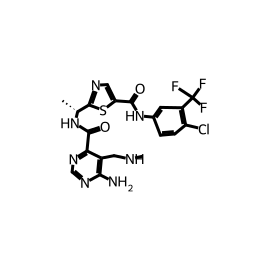 CNCc1c(N)ncnc1C(=O)N[C@H](C)c1ncc(C(=O)Nc2ccc(Cl)c(C(F)(F)F)c2)s1